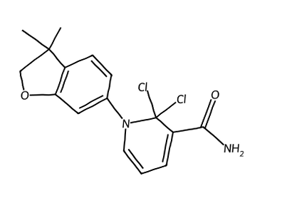 CC1(C)COc2cc(N3C=CC=C(C(N)=O)C3(Cl)Cl)ccc21